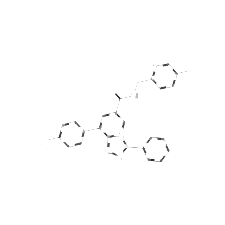 Cc1ccc(-c2cc(C(=O)NCc3ccc(F)cn3)cn3c(-c4ccccc4)nnc23)cc1